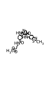 COc1cc2nc(C)sc2cc1Nc1ncnc2[nH]c3c(c12)C[C@@H](C(=O)NCCCS(C)(=O)=O)CC3